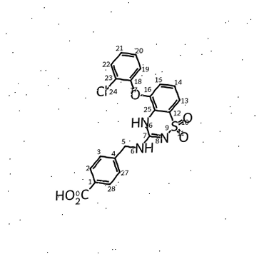 O=C(O)c1ccc(CNC2=NS(=O)(=O)c3cccc(Oc4ccccc4Cl)c3N2)cc1